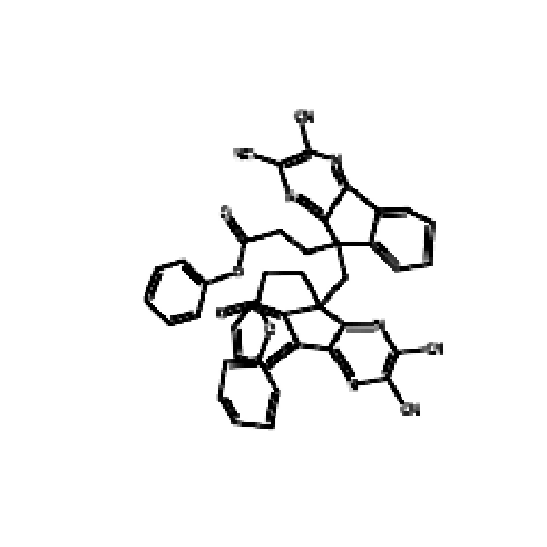 N#Cc1nc2c(nc1C#N)C(CCC(=O)Oc1ccccc1)(CC1(CCC(=O)Oc3ccccc3)c3ccccc3-c3nc(C#N)c(C#N)nc31)c1ccccc1-2